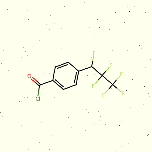 O=C(Cl)c1ccc(C(F)C(F)(F)C(F)(F)F)cc1